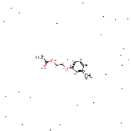 CC(=O)OCCOc1cccc(C)c1